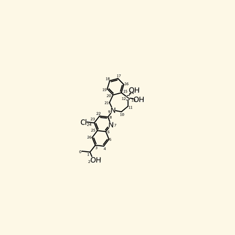 CC(O)c1ccc2nc(N3CCS(O)(O)c4ccccc4C3)cc(Cl)c2c1